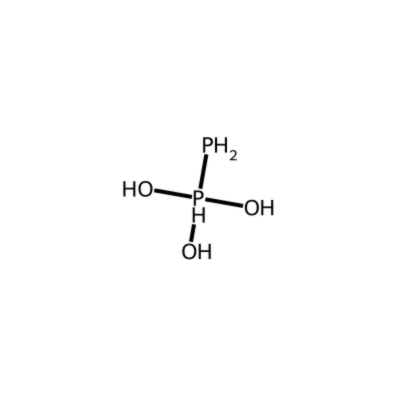 O[PH](O)(O)P